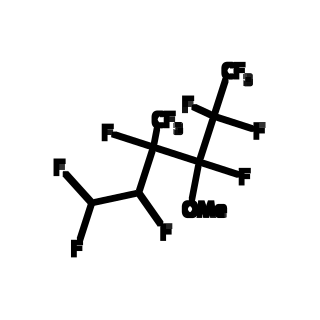 COC(F)(C(F)(F)C(F)(F)F)C(F)(C(F)C(F)F)C(F)(F)F